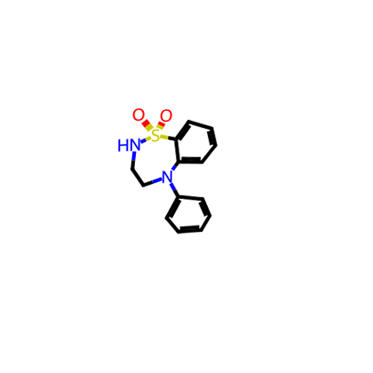 O=S1(=O)NCCN(c2ccccc2)c2ccccc21